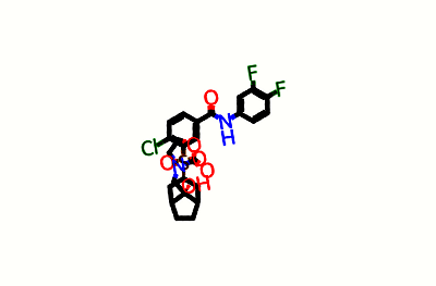 O=C(Nc1ccc(F)c(F)c1)c1ccc(Cl)c(S(=O)(=O)[C@H]2CC3CCC(C2)[C@]3(O)CN2CCOC2=O)c1